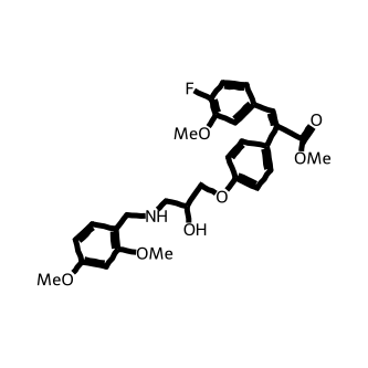 COC(=O)C(=Cc1ccc(F)c(OC)c1)c1ccc(OCC(O)CNCc2ccc(OC)cc2OC)cc1